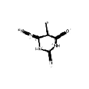 CC1C(=O)NC(=O)NC1=[N+]=[N-]